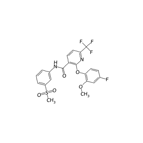 COc1cc(F)ccc1Oc1nc(C(F)(F)F)ccc1C(=O)Nc1cccc(S(C)(=O)=O)c1